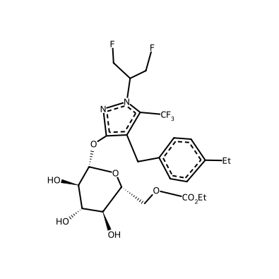 CCOC(=O)OC[C@H]1O[C@@H](Oc2nn(C(CF)CF)c(C(F)(F)F)c2Cc2ccc(CC)cc2)[C@H](O)[C@@H](O)[C@@H]1O